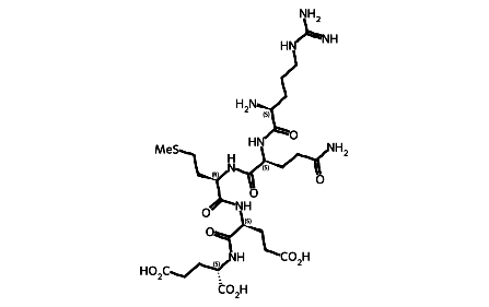 CSCC[C@@H](NC(=O)[C@H](CCC(N)=O)NC(=O)[C@@H](N)CCCNC(=N)N)C(=O)N[C@@H](CCC(=O)O)C(=O)N[C@@H](CCC(=O)O)C(=O)O